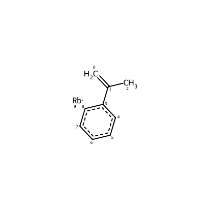 C=C(C)c1ccccc1.[Rb]